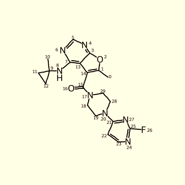 Cc1oc2ncnc(NC3(C)CC3)c2c1C(=O)N1CCN(c2ccnc(F)n2)CC1